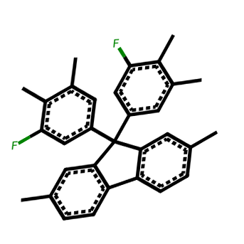 Cc1ccc2c(c1)C(c1cc(C)c(C)c(F)c1)(c1cc(C)c(C)c(F)c1)c1cc(C)ccc1-2